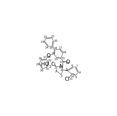 O=C(O)[C@@H]1CC[C@H](c2ccccc2Cl)N1C(=O)c1ccc(-c2ccccc2)c(Oc2ccccc2)c1